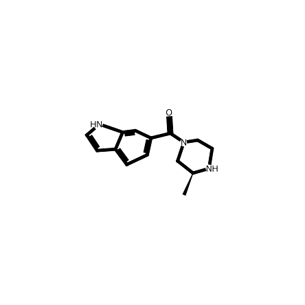 C[C@H]1CN(C(=O)c2ccc3cc[nH]c3c2)CCN1